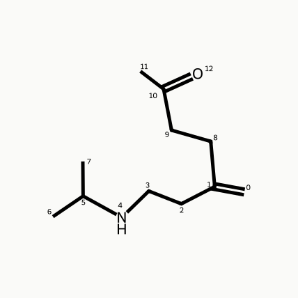 C=C(CCNC(C)C)CCC(C)=O